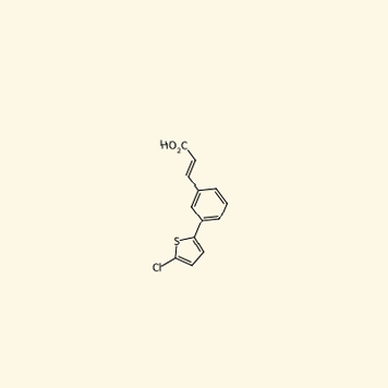 O=C(O)/C=C/c1cccc(-c2ccc(Cl)s2)c1